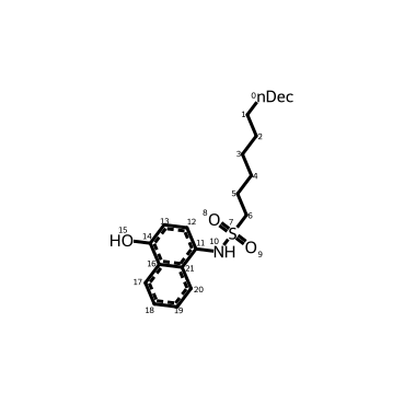 CCCCCCCCCCCCCCCCS(=O)(=O)Nc1ccc(O)c2ccccc12